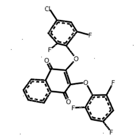 O=C1C(Oc2c(F)cc(F)cc2F)=C(Oc2c(F)cc(Cl)cc2F)C(=O)c2ccccc21